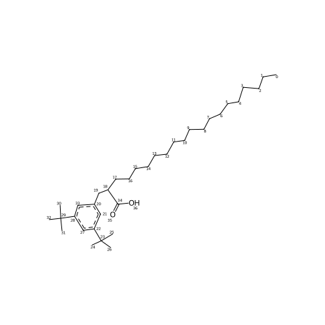 CCCCCCCCCCCCCCCCCCC(Cc1cc(C(C)(C)C)cc(C(C)(C)C)c1)C(=O)O